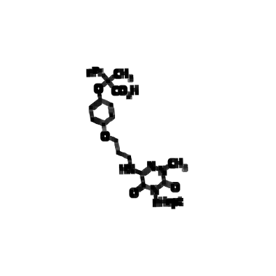 CCCCCCCn1c(=O)c(NCCCOc2ccc(OC(C)(CCC)C(=O)O)cc2)nn(C)c1=O